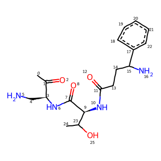 CC(=O)[C@H](CN)NC(=O)[C@@H](NC(=O)CCC(N)c1ccccc1)C(C)O